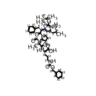 CC(C)C[C@@H](/C=C/[C@H](Cc1ccccc1)C(=O)N1CCC[C@H]1N(C=O)[C@@H](C)C(=O)N[C@@H](CCCNC(=O)OCc1ccccc1)C(=O)O)NC(=O)OC(C)(C)C